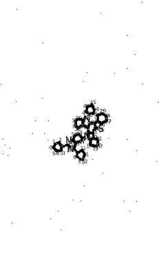 c1ccc(-c2nc(-c3ccccc3)c3cc(-n4c5ccccc5c5c6sc7ccccc7c6c6c(c7ccccc7n6-c6ccccc6)c54)ccc3n2)cc1